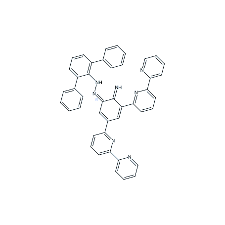 N=C1C(c2cccc(-c3ccccn3)n2)=CC(c2cccc(-c3ccccn3)n2)=C/C1=N/Nc1c(-c2ccccc2)cccc1-c1ccccc1